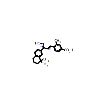 Cc1cc(C(=O)O)ccc1/C=C/C(=N/O)c1ccc2c(c1)C(C)(C)CCC2